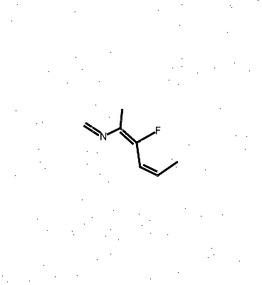 C=N/C(C)=C(F)\C=C/C